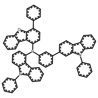 c1ccc(-c2ccc(N(c3cccc(-c4ccc5c6ccccc6n(-c6ccccc6)c5c4)c3)c3cccc4c3c3ccccc3n4-c3ccccc3)c3c2oc2ccccc23)cc1